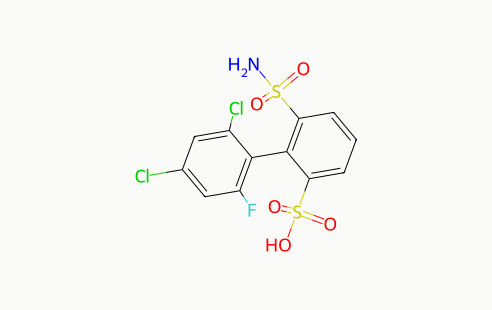 NS(=O)(=O)c1cccc(S(=O)(=O)O)c1-c1c(F)cc(Cl)cc1Cl